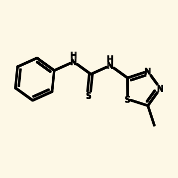 Cc1nnc(NC(=S)Nc2ccccc2)s1